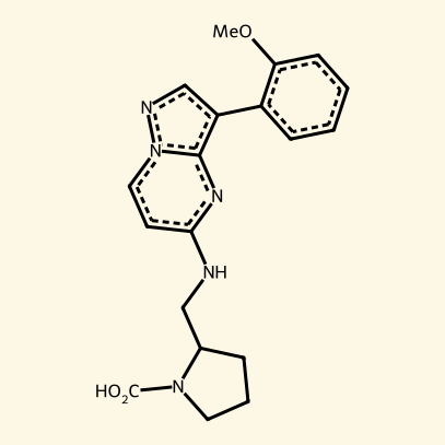 COc1ccccc1-c1cnn2ccc(NCC3CCCN3C(=O)O)nc12